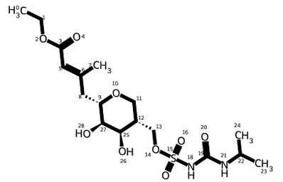 CCOC(=O)/C=C(\C)C[C@@H]1OC[C@H](COS(=O)(=O)NC(=O)NC(C)C)[C@@H](O)[C@H]1O